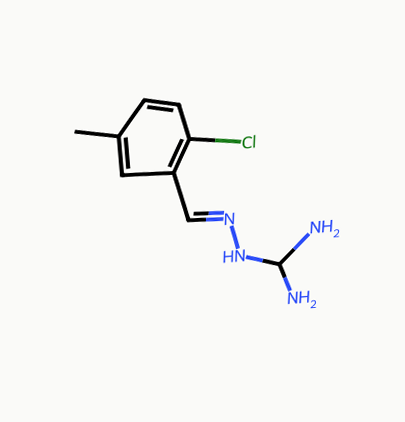 Cc1ccc(Cl)c(/C=N/NC(N)N)c1